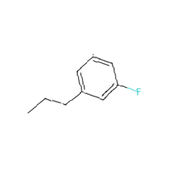 CCCc1c[c]cc(F)c1